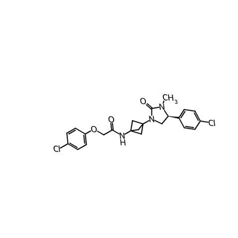 CN1C(=O)N(C23CC(NC(=O)COc4ccc(Cl)cc4)(C2)C3)C[C@@H]1c1ccc(Cl)cc1